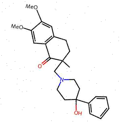 COc1cc2c(cc1OC)C(=O)C(C)(CN1CCC(O)(c3ccccc3)CC1)CC2